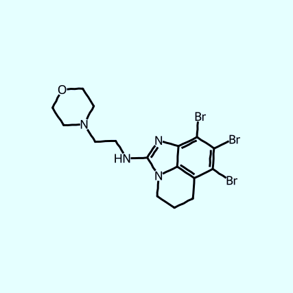 Brc1c(Br)c2c3c(nc(NCCN4CCOCC4)n3CCC2)c1Br